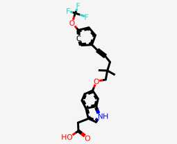 CC(C)(CC#Cc1ccc(OC(F)(F)F)cc1)COc1ccc2c(CC(=O)O)c[nH]c2c1